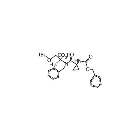 CC(C)(C)OCC(C)(C(=O)O)N(Cc1ccccc1)C(=O)C1(NC(=O)OCc2ccccc2)CC1